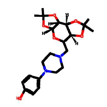 CC1(C)O[C@H]2OC(CN3CCN(c4ccc(O)cc4)CC3)[C@@H]3OC(C)(C)O[C@@H]3[C@H]2O1